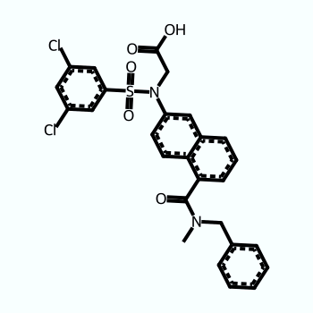 CN(Cc1ccccc1)C(=O)c1cccc2cc(N(CC(=O)O)S(=O)(=O)c3cc(Cl)cc(Cl)c3)ccc12